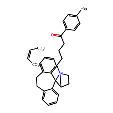 CC(C)(C)c1ccc(C(=O)CCCC[N+]23CCC(CC2)C32c3ccccc3CCc3ccccc32)cc1.O=C(O)/C=C\C(=O)O